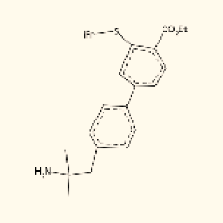 CCOC(=O)c1ccc(-c2ccc(CC(C)(C)N)cc2)cc1SC(C)C